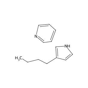 CCCCc1cc[nH]c1.c1ccncc1